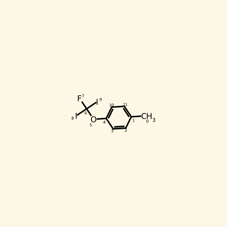 Cc1ccc(OC(F)(I)I)cc1